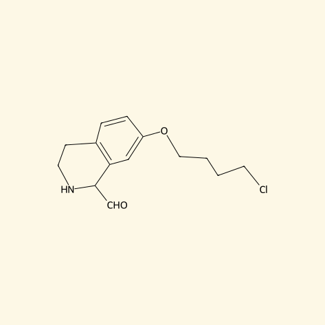 O=CC1NCCc2ccc(OCCCCCl)cc21